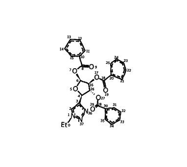 CCn1cc([C@H]2O[C@@H](OC(=O)c3ccccc3)[C@@H](OC(=O)c3ccccc3)[C@@H]2OC(=O)c2ccccc2)nn1